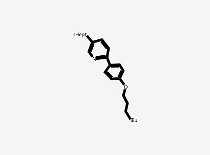 CCCCCCCc1ccc(-c2ccc(OCCCC(C)CC)cc2)nc1